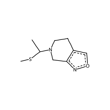 CSC(C)N1CCc2conc2C1